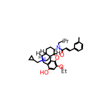 CCOc1cc(O)c2c3c1O[C@H]1[C@@H](N(CC(C)C)C(=O)C=Cc4cccc(C)c4)CC[C@H]4[C@@H](C2)N(CC2CC2)CC[C@@]341